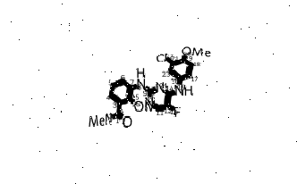 CNC(=O)c1cccc(Nc2ncc(F)c(Nc3ccc(OC)c(Cl)c3)n2)c1OC